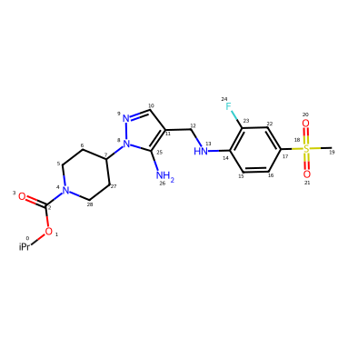 CC(C)OC(=O)N1CCC(n2ncc(CNc3ccc(S(C)(=O)=O)cc3F)c2N)CC1